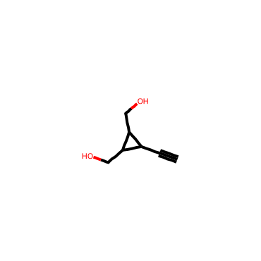 C#CC1C(CO)C1CO